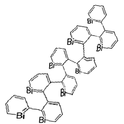 C1=[CH][Bi]=[C](C2=CC=[CH][Bi]=[C]2C2=CC=[CH][Bi]=[C]2C2=CC=[CH][Bi]=[C]2C2=CC=[CH][Bi]=[C]2C2=CC=[CH][Bi]=[C]2C2=CC=[CH][Bi]=[C]2C2=CC=[CH][Bi]=[C]2[C]2=[Bi][CH]=CC=C2)C=C1